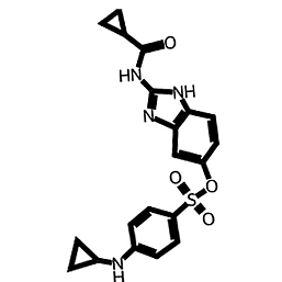 O=C(Nc1nc2cc(OS(=O)(=O)c3ccc(NC4CC4)cc3)ccc2[nH]1)C1CC1